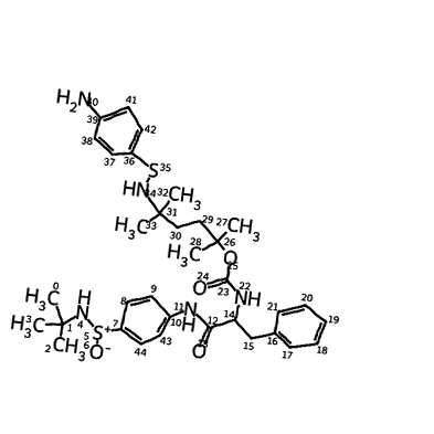 CC(C)(C)N[S+]([O-])c1ccc(NC(=O)C(Cc2ccccc2)NC(=O)OC(C)(C)CCC(C)(C)NSc2ccc(N)cc2)cc1